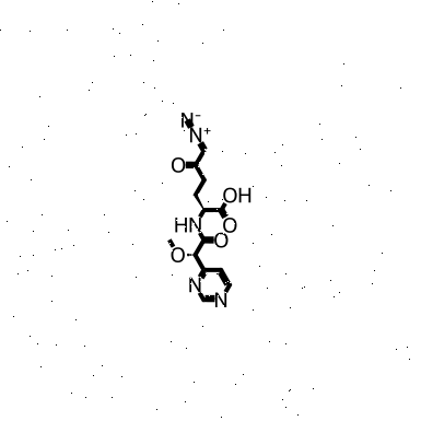 CO[C@H](C(=O)N[C@@H](CCC(=O)C=[N+]=[N-])C(=O)O)c1ccncn1